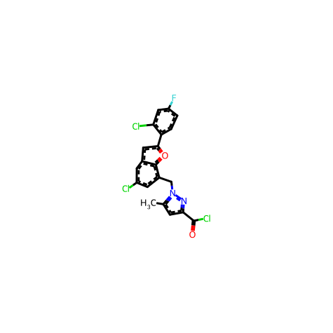 Cc1cc(C(=O)Cl)nn1Cc1cc(Cl)cc2cc(-c3ccc(F)cc3Cl)oc12